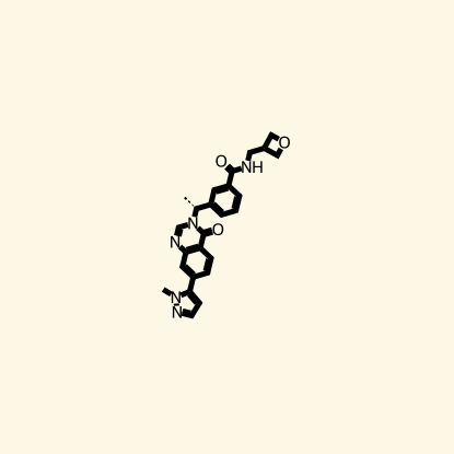 C[C@H](c1cccc(C(=O)NCC2COC2)c1)n1cnc2cc(-c3ccnn3C)ccc2c1=O